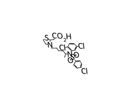 CC(CCCCN1CCSC1CC(=O)O)N(c1cc(Cl)ccc1Cl)S(=O)(=O)c1ccc(Cl)cc1